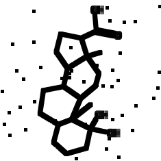 CC12CCC3C(CCC4CCCC(O)(O)C43C)C1CCC2C(=O)O